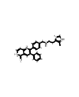 Cc1[nH]cnc1CCNCc1ccc(-c2nc3cc[nH]c(=O)c3cc2-c2ccccc2)cc1